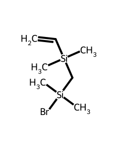 C=C[Si](C)(C)C[Si](C)(C)Br